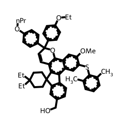 CCCOc1ccc(C2(c3ccc(OCC)cc3)C=Cc3c4c(c5cc(Sc6c(C)cccc6C)c(OC)cc5c3O2)-c2ccc(CO)cc2C42CCC(CC)(CC)CC2)cc1